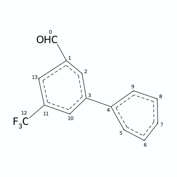 O=Cc1cc(-c2ccccc2)cc(C(F)(F)F)c1